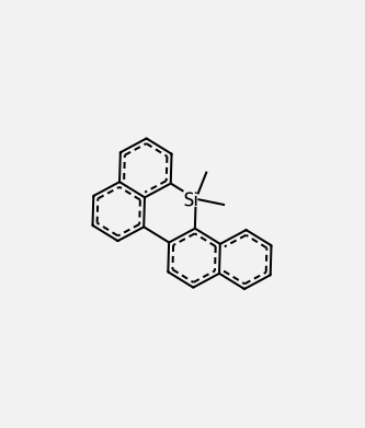 C[Si]1(C)c2c(ccc3ccccc23)-c2cccc3cccc1c23